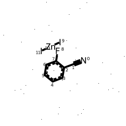 N#Cc1[c]cccc1F.[I][Zn][I]